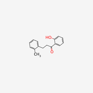 Cc1ccccc1CCC(=O)c1ccccc1O